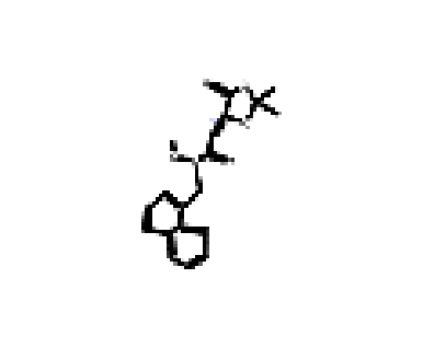 CON(Cc1cccc2ccccc12)C(=O)/C=C1\OC(C)(C)OC1=O